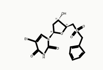 CCc1cn([C@H]2C[C@H](O)[C@@H](CS(=O)(=O)Cc3ccccc3)O2)c(=O)[nH]c1=O